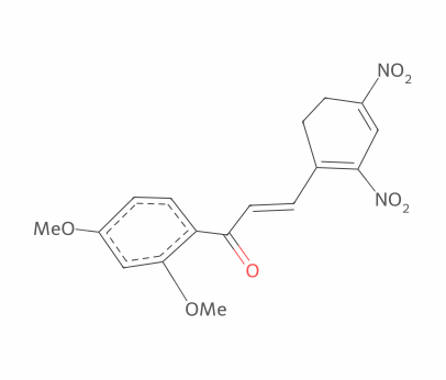 COc1ccc(C(=O)/C=C/C2=C([N+](=O)[O-])C=C([N+](=O)[O-])CC2)c(OC)c1